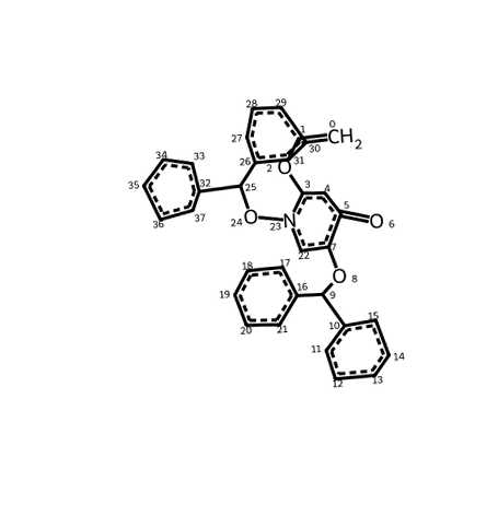 C=COc1cc(=O)c(OC(c2ccccc2)c2ccccc2)cn1OC(c1ccccc1)c1ccccc1